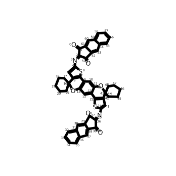 O=c1c(=Nc2cc3c(s2)-c2cc4c(cc2OC32CCCCC2)-c2sc(N=c3c(=O)c5cc6ccccc6cc5c3=O)cc2C2(CCCCC2)O4)c(=O)c2cc3ccccc3cc12